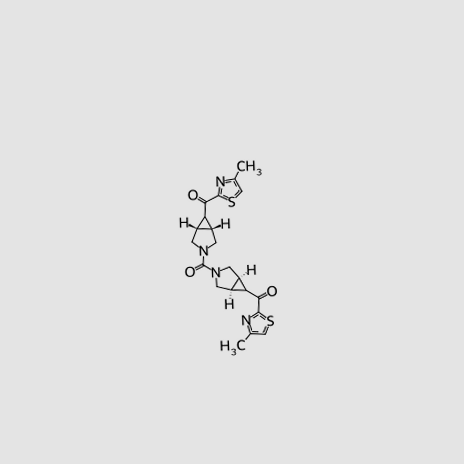 Cc1csc(C(=O)C2[C@H]3CN(C(=O)N4C[C@@H]5C(C(=O)c6nc(C)cs6)[C@@H]5C4)C[C@@H]23)n1